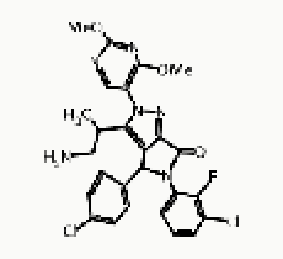 COc1ncc(-n2nc3c(c2C(C)CN)C(c2ccc(Cl)cc2)N(c2cccc(Cl)c2F)C3=O)c(OC)n1